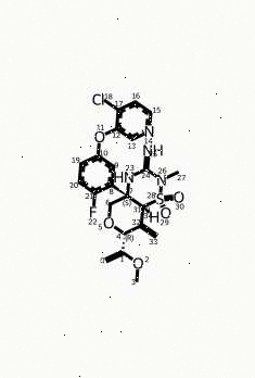 C=C(OC)[C@@H]1OC[C@]2(c3cc(Oc4cnccc4Cl)ccc3F)NC(=N)N(C)S(=O)(=O)[C@@H]2C1=C